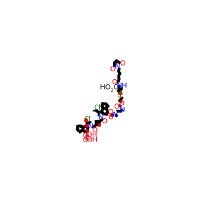 C[C@@H](Cl)[C@@H]1CN(C(=O)C23CC(C(=O)N4C[C@@H](CCl)c5c4cc(OP(=O)(O)O)c4ccccc54)(C2)C3)c2cc(OC(=O)N(C)CCN(C)C(=O)OCCSSC(C)(C)[C@H](NC(=O)CCCCCN3C(=O)C=CC3=O)C(=O)O)c3ccccc3c21